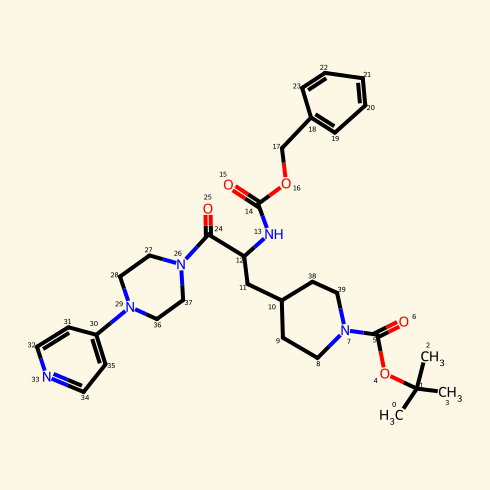 CC(C)(C)OC(=O)N1CCC(CC(NC(=O)OCc2ccccc2)C(=O)N2CCN(c3ccncc3)CC2)CC1